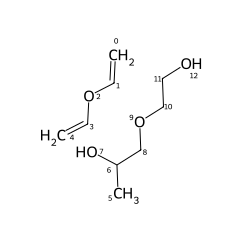 C=COC=C.CC(O)COCCO